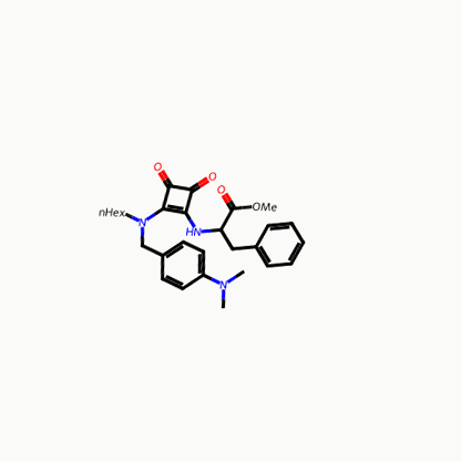 CCCCCCN(Cc1ccc(N(C)C)cc1)c1c(NC(Cc2ccccc2)C(=O)OC)c(=O)c1=O